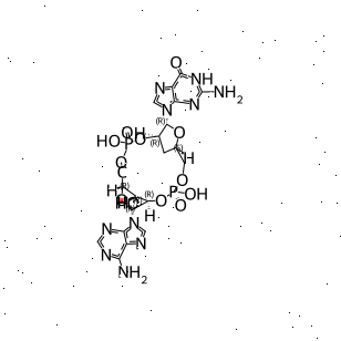 Nc1nc2c(ncn2[C@@H]2O[C@@H]3COP(=O)(O)O[C@@H]4[C@H](O)[C@@H](COP(=O)(O)O[C@@H]2C3)O[C@H]4n2cnc3c(N)ncnc32)c(=O)[nH]1